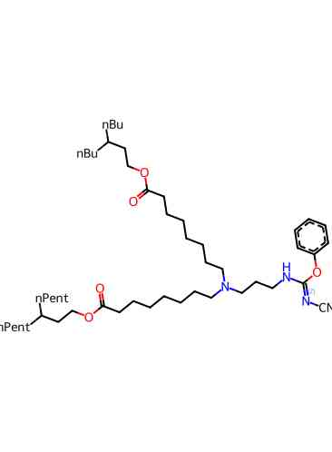 CCCCCC(CCCCC)CCOC(=O)CCCCCCCN(CCCCCCCC(=O)OCCC(CCCC)CCCC)CCCN/C(=N/C#N)Oc1ccccc1